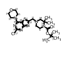 CC(C)(C)OC(=O)N1CCN(Cc2nc3nc(Cl)nc(N4CCOCC4)c3s2)CC1(C)C